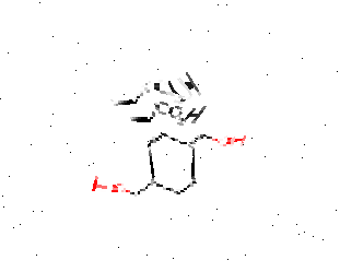 C=CC(=O)O.C=CC(=O)O.OCC1CCC(CO)CC1